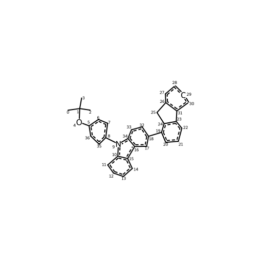 CC(C)(C)Oc1ccc(-n2c3ccccc3c3cc(-c4cccc5c4Cc4ccccc4-5)ccc32)cc1